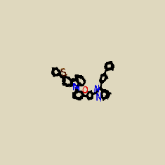 c1ccc(-c2ccc(-c3nc(-c4ccc5c(c4)oc4c(-n6c7ccccc7c7c8sc9ccccc9c8ccc76)cccc45)nc4ccccc34)cc2)cc1